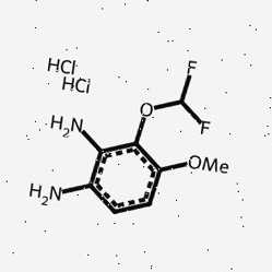 COc1ccc(N)c(N)c1OC(F)F.Cl.Cl